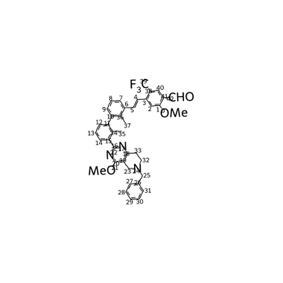 COc1cc(/C=C/c2cccc(-c3cccc(-c4nc5c(c(OC)n4)CN(Cc4ccccc4)CC5)c3C)c2C)c(C(F)(F)F)cc1C=O